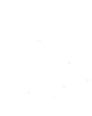 O=C(Nc1ccc(-c2cc(Nc3ccc(N4CCC(O)CC4)cn3)c3c(=O)[nH]ccc3n2)c(F)c1)C1CCCCC1